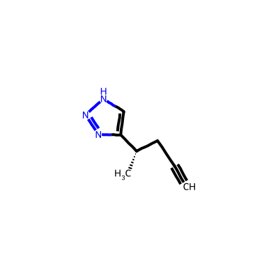 C#CC[C@H](C)c1c[nH]nn1